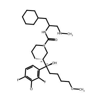 CNCC(CC1CCCCC1)NC(=O)N1CCC[C@@H]([C@](O)(CCCCOC)c2ccc(F)c(Cl)c2F)C1